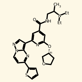 CCN(CC)C(C)CNC(=O)c1cc(O[C@@H]2CCOC2)nc(-c2cnn3ccc(-c4cccs4)nc23)c1